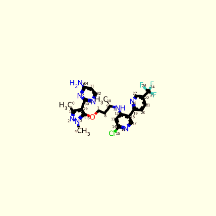 Cc1nn(C)c(OCC[C@H](C)Nc2cc(Cl)ncc2-c2ccc(C(F)(F)F)cn2)c1-c1nccc(N)n1